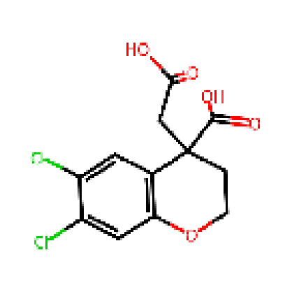 O=C(O)CC1(C(=O)O)CCOc2cc(Cl)c(Cl)cc21